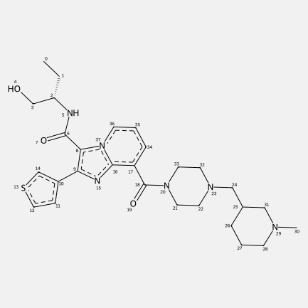 CC[C@@H](CO)NC(=O)c1c(-c2ccsc2)nc2c(C(=O)N3CCN(CC4CCCN(C)C4)CC3)cccn12